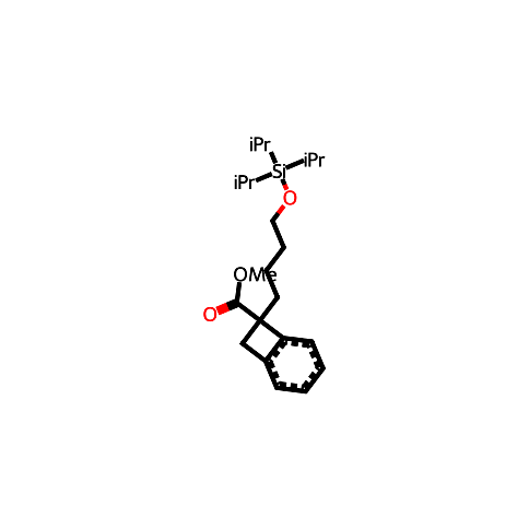 COC(=O)C1(CCCCO[Si](C(C)C)(C(C)C)C(C)C)Cc2ccccc21